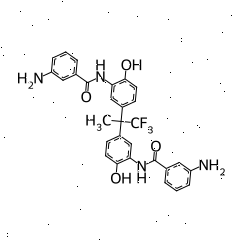 CC(c1ccc(O)c(NC(=O)c2cccc(N)c2)c1)(c1ccc(O)c(NC(=O)c2cccc(N)c2)c1)C(F)(F)F